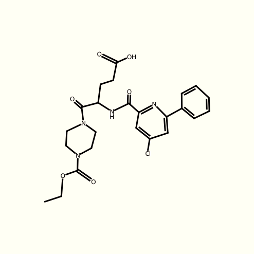 CCOC(=O)N1CCN(C(=O)C(CCC(=O)O)NC(=O)c2cc(Cl)cc(-c3ccccc3)n2)CC1